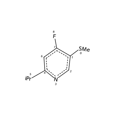 CSc1cnc(C(C)C)cc1F